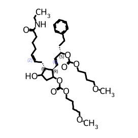 CCNC(=O)CCC/C=C\C[C@H]1C(O)CC(OC(=O)OCCCCOC)[C@@H]1/C=C/[C@H](CCc1ccccc1)OC(=O)OCCCCOC